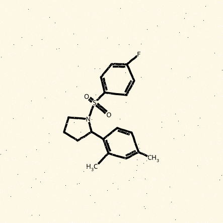 Cc1ccc(C2CCCN2S(=O)(=O)c2ccc(F)cc2)c(C)c1